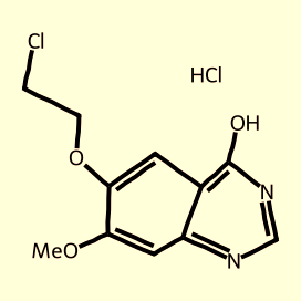 COc1cc2ncnc(O)c2cc1OCCCl.Cl